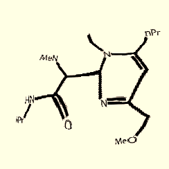 CCCC1=CC(COC)=NC(C(NC)C(=O)NC(C)C)N1C